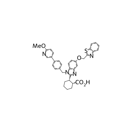 COc1ccc(-c2ccc(Cn3c([C@@H]4CCCC[C@@H]4C(=O)O)nc4cc(OCc5nc6ccccc6s5)ccc43)cc2)cn1